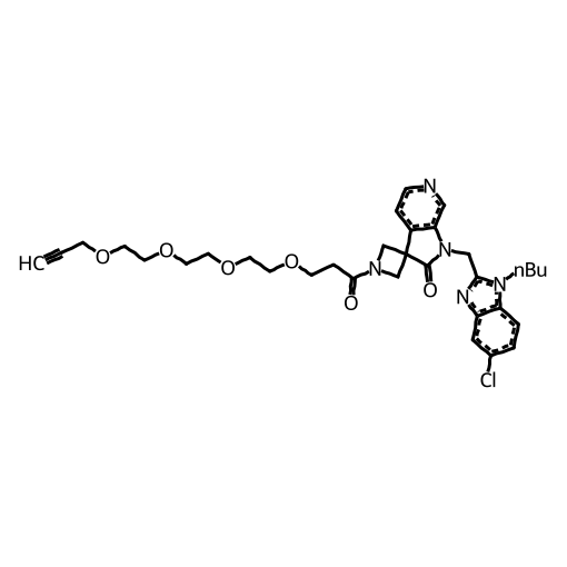 C#CCOCCOCCOCCOCCC(=O)N1CC2(C1)C(=O)N(Cc1nc3cc(Cl)ccc3n1CCCC)c1cnccc12